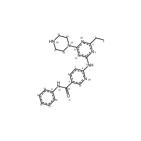 CCc1nc(Nc2ccc(C(=O)Nc3ccccc3)cn2)nc(N2CCNCC2)n1